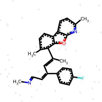 C/N=C/C=C(\C=C(/C)c1c(C)ccc2c1oc1nc(C)ccc12)c1ccc(F)cc1